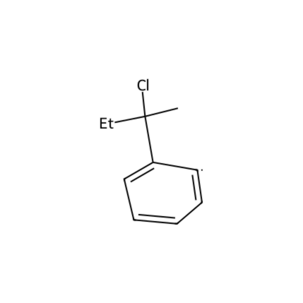 CCC(C)(Cl)c1[c]cccc1